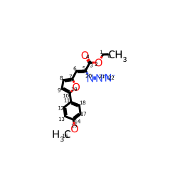 CCOC(=O)C(=Cc1ccc(-c2ccc(OC)cc2)o1)N=[N+]=[N-]